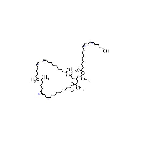 CCCCC/C=C\C/C=C\CCCCCCCC(=O)OC(C)CC(CC(C)OC(=O)CCCCCCC/C=C\C/C=C\CCCCC)CC(C)OC(=O)CCCCCCC/C=C\C/C=C\CCCCC